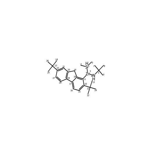 C[SiH](C)[Zn]([NH]C(C)(C)C)[c]1c(C(C)(C)C)ccc2c1Cc1cc(C(C)(C)C)ccc1-2